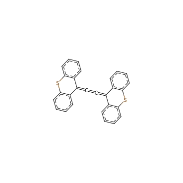 C(=C=C1c2ccccc2Sc2ccccc21)=C1c2ccccc2Sc2ccccc21